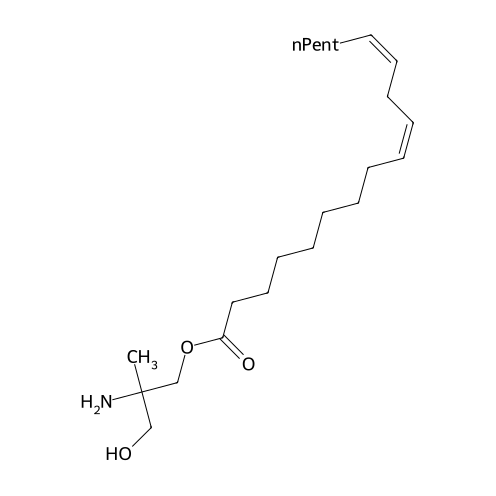 CCCCC/C=C\C/C=C\CCCCCCCC(=O)OCC(C)(N)CO